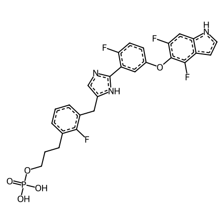 O=P(O)(O)OCCCc1cccc(Cc2cnc(-c3cc(Oc4c(F)cc5[nH]ccc5c4F)ccc3F)[nH]2)c1F